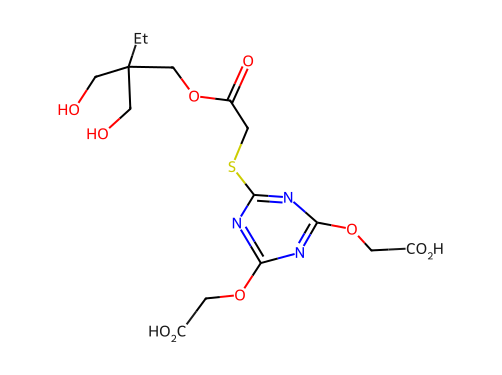 CCC(CO)(CO)COC(=O)CSc1nc(OCC(=O)O)nc(OCC(=O)O)n1